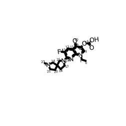 CCn1cc(OC(=O)O)c(=O)c2cc(F)c(N3CCC4(CCN(C)C4)C3)nc21